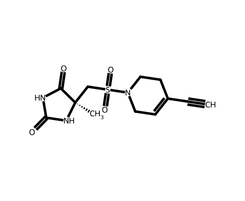 C#CC1=CCN(S(=O)(=O)C[C@@]2(C)NC(=O)NC2=O)CC1